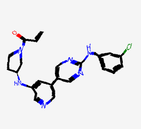 C=CC(=O)N1CC[C@H](Nc2cncc(-c3cnc(Nc4cccc(Cl)c4)nc3)c2)C1